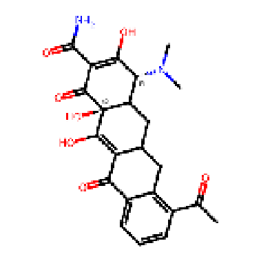 CC(=O)c1cccc2c1CC1CC3[C@@H](N(C)C)C(O)=C(C(N)=O)C(=O)[C@@]3(O)C(O)=C1C2=O